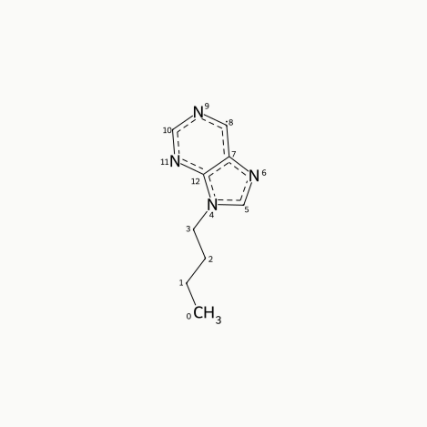 CCCCn1cnc2[c]ncnc21